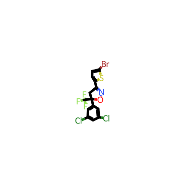 FC(F)(F)C1(c2cc(Cl)cc(Cl)c2)CC(c2ccc(Br)s2)=NO1